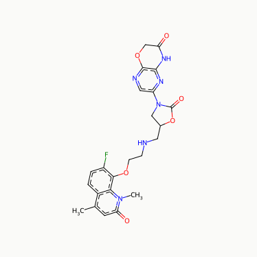 Cc1cc(=O)n(C)c2c(OCCNCC3CN(c4cnc5c(n4)NC(=O)CO5)C(=O)O3)c(F)ccc12